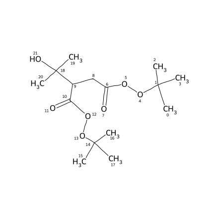 CC(C)(C)OOC(=O)CC(C(=O)OOC(C)(C)C)C(C)(C)O